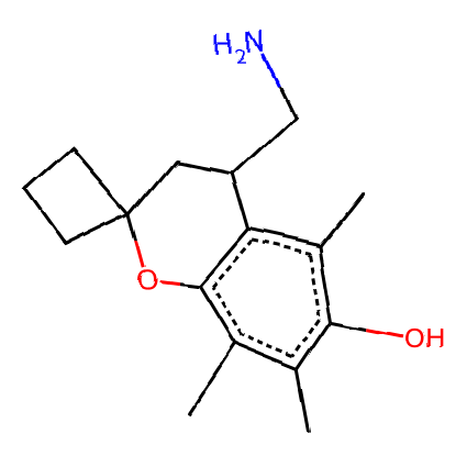 Cc1c(C)c2c(c(C)c1O)C(CN)CC1(CCC1)O2